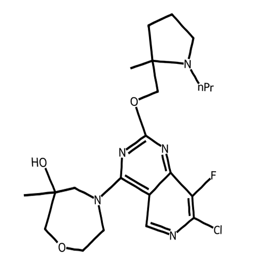 CCCN1CCCC1(C)COc1nc(N2CCOCC(C)(O)C2)c2cnc(Cl)c(F)c2n1